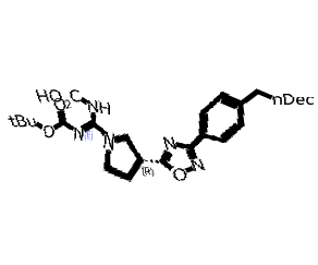 CCCCCCCCCCCc1ccc(-c2noc([C@@H]3CCN(/C(=N/C(=O)OC(C)(C)C)NC(=O)O)C3)n2)cc1